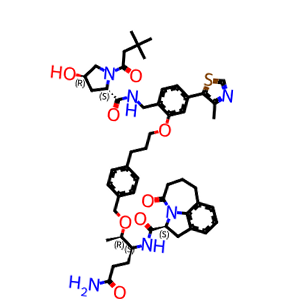 Cc1ncsc1-c1ccc(CNC(=O)[C@@H]2C[C@@H](O)CN2C(=O)CC(C)(C)C)c(OCCCc2ccc(CO[C@H](C)[C@H](CCC(N)=O)NC(=O)[C@@H]3Cc4cccc5c4N3C(=O)CCC5)cc2)c1